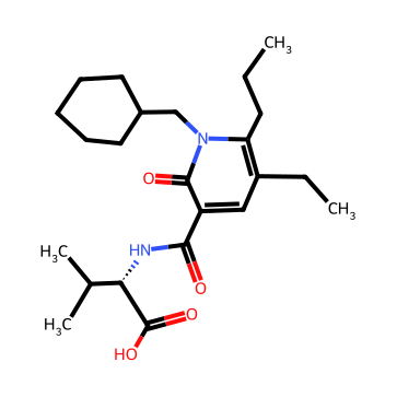 CCCc1c(CC)cc(C(=O)N[C@H](C(=O)O)C(C)C)c(=O)n1CC1CCCCC1